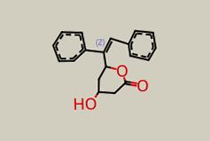 O=C1CC(O)CC(/C(=C\c2ccccc2)c2ccccc2)O1